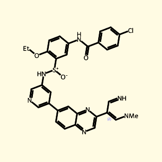 CCOc1ccc(NC(=O)c2ccc(Cl)cc2)cc1[S+]([O-])Nc1cncc(-c2ccc3ncc(/C(C=N)=C/NC)nc3c2)c1